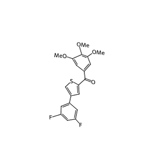 COc1cc(C(=O)c2cc(-c3cc(F)cc(F)c3)cs2)cc(OC)c1OC